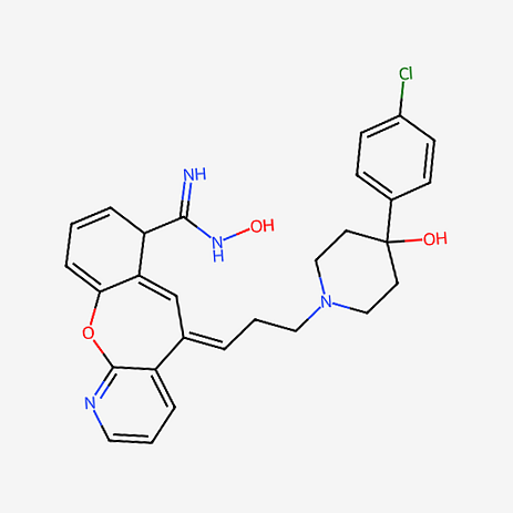 N=C(NO)C1C=CC=C2Oc3ncccc3C(=CCCN3CCC(O)(c4ccc(Cl)cc4)CC3)C=C21